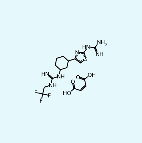 N=C(N)Nc1nc(C2CCCC(NC(=N)NCC(F)(F)F)C2)cs1.O=C(O)/C=C\C(=O)O